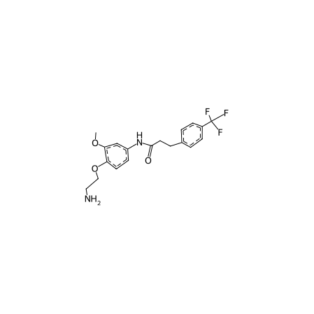 COc1cc(NC(=O)CCc2ccc(C(F)(F)F)cc2)ccc1OCCN